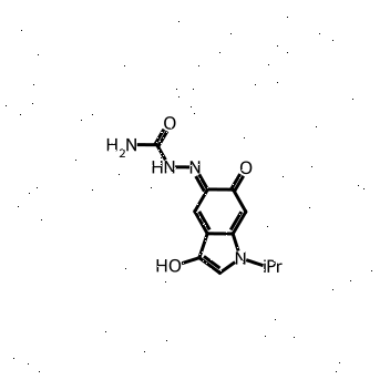 CC(C)n1cc(O)c2c1=CC(=O)C(=NNC(N)=O)C=2